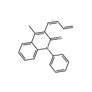 C=C/C=C\c1c(C)c2ccccc2n(-c2ccccc2)c1=O